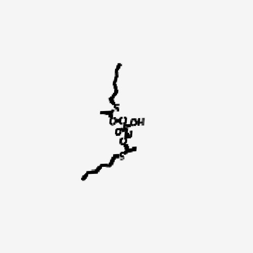 CCCCCCSC(C)OOP(=O)(O)OOC(C)SCCCCCC